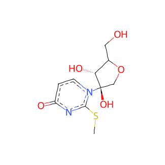 CSc1nc(=O)ccn1[C@@]1(O)COC(CO)[C@H]1O